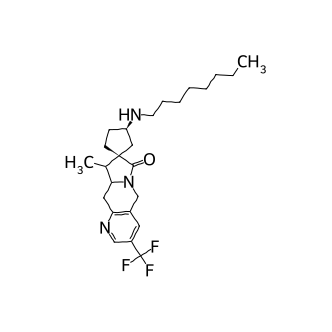 CCCCCCCCN[C@@H]1CC[C@@]2(C1)C(=O)N1Cc3cc(C(F)(F)F)cnc3CC1C2C